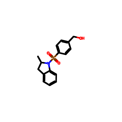 CC1Cc2ccccc2N1S(=O)(=O)c1ccc(CO)cc1